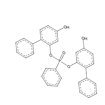 O=P(Oc1cc(O)ccc1-c1ccccc1)(Oc1cc(O)ccc1-c1ccccc1)c1ccccc1